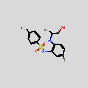 Cc1ccc(S(=O)(=O)Nc2cc(Br)ccc2NC(C)CO)cc1